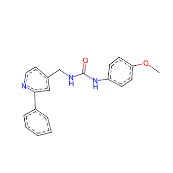 COc1ccc(NC(=O)NCc2ccnc(-c3ccccc3)c2)cc1